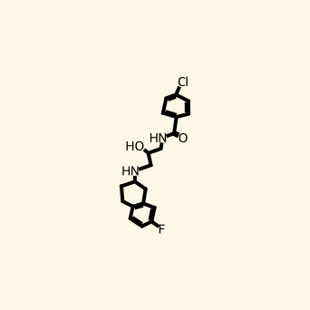 O=C(NCC(O)CNC1CCc2ccc(F)cc2C1)c1ccc(Cl)cc1